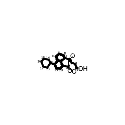 O=C(O)CN1C(=O)c2cccc3c(C4CCCCC4)ccc(c23)C1=O